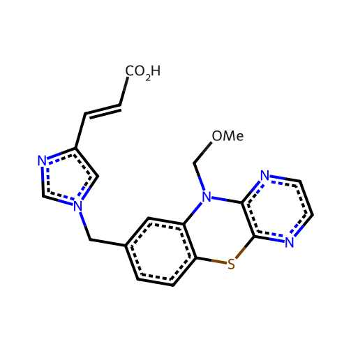 COCN1c2cc(Cn3cnc(C=CC(=O)O)c3)ccc2Sc2nccnc21